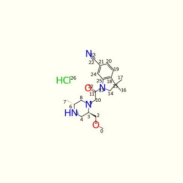 COC[C@H]1CN[C@H](C)CN1CC(=O)N1CC(C)(C)c2ccc(C#N)cc21.Cl